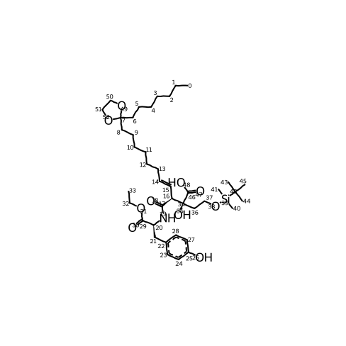 CCCCCCCC1(CCCCCC/C=C/[C@H](C(=O)N[C@@H](Cc2ccc(O)cc2)C(=O)OCC)[C@@](O)(CCO[Si](C)(C)C(C)(C)C)C(=O)O)OCCO1